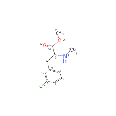 CNC(Cc1cccc(Cl)c1)C(=O)OC